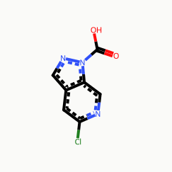 O=C(O)n1ncc2cc(Cl)ncc21